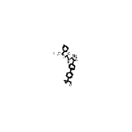 C[C@@H](OC(=O)Nc1nsnc1-c1ccc(-c2ccc(C3(C=O)CC3)cc2)cc1)c1ccccc1